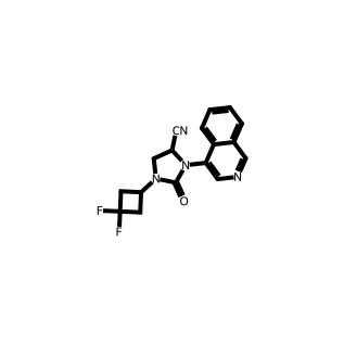 N#CC1CN(C2CC(F)(F)C2)C(=O)N1c1cncc2ccccc12